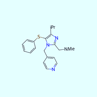 CNCc1nc(C(C)C)c(Sc2ccccc2)n1Cc1ccncc1